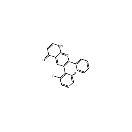 O=c1cc[nH]c2nc(-c3ccccc3)c(-c3c(F)cncc3F)cc12